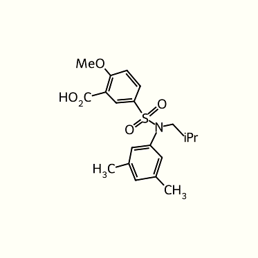 COc1ccc(S(=O)(=O)N(CC(C)C)c2cc(C)cc(C)c2)cc1C(=O)O